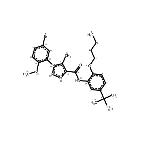 CCCCOc1ccc(C(C)(C)C)cc1NC(=O)c1nnn(-c2cc(Br)ccc2OC)c1C